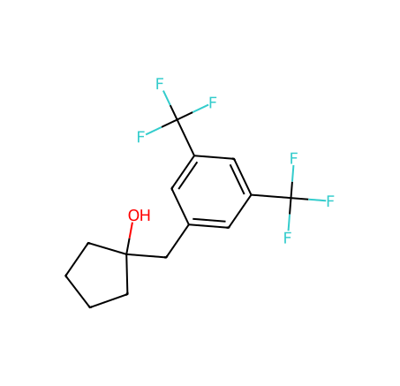 OC1(Cc2cc(C(F)(F)F)cc(C(F)(F)F)c2)CCCC1